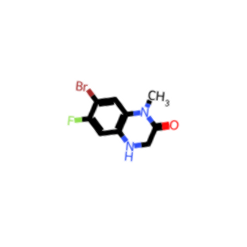 CN1C(=O)CNc2cc(F)c(Br)cc21